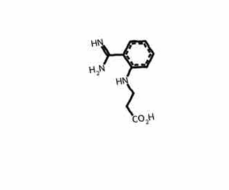 N=C(N)c1ccccc1NCCC(=O)O